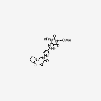 CCCn1c(=O)n(CCOC)c(=O)c2[nH]c(-c3ccc(N(CCN4CCCCC4=O)C(=O)C4CC4)nc3)nc21